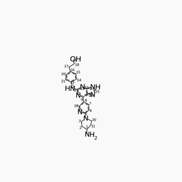 NC1CCN(c2ccc(-c3nc(Nc4ccc(CCO)cc4)nc4[nH]cnc34)cn2)CC1